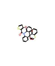 O=C(c1sccc1Br)N1c2ccccc2C2(c3ccccc3Sc3ccccc32)c2ccccc21